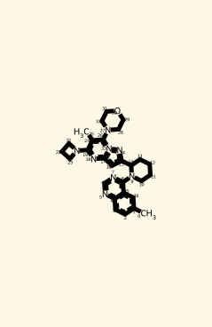 Cc1ccc2ncnc(N3CCCCC3c3cc4nc(N5CCC5)c(C)c(N5CCOCC5)n4n3)c2c1